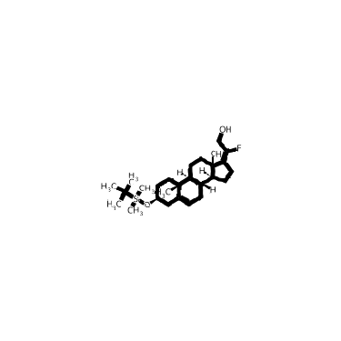 CC(C)(C)[Si](C)(C)O[C@H]1CC[C@@]2(C)C(=CC[C@@H]3[C@@H]2CC[C@]2(C)/C(=C(/F)CO)CC[C@@H]32)C1